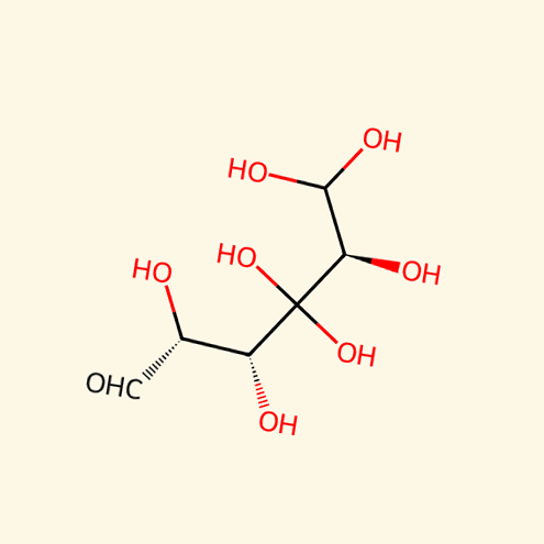 O=C[C@H](O)[C@@H](O)C(O)(O)[C@H](O)C(O)O